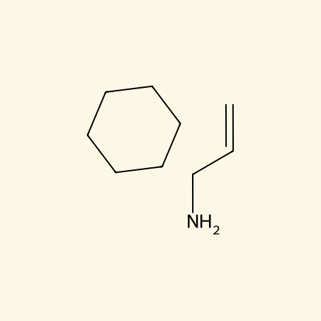 C1CCCCC1.C=CCN